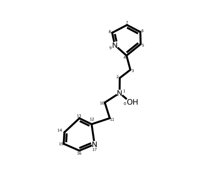 ON(CCc1ccccn1)CCc1ccccn1